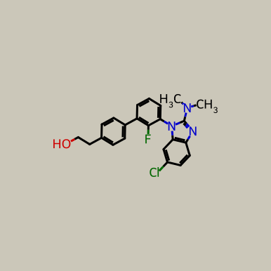 CN(C)c1nc2ccc(Cl)cc2n1-c1cccc(-c2ccc(CCO)cc2)c1F